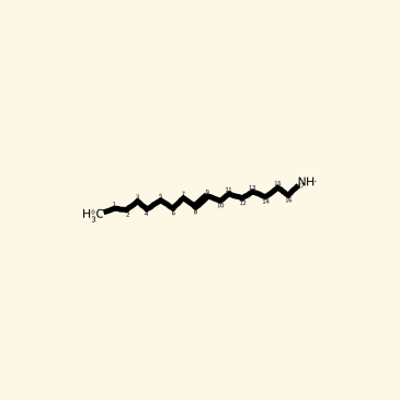 CCCCCCCCC=CCCCCCCC[NH]